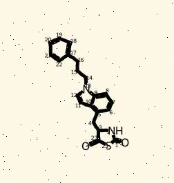 O=C1NC(Cc2cccc3c2ccn3CCCc2ccccc2)C(=O)S1